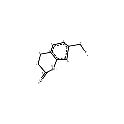 O=C1CCc2c[c]c(CF)cc2N1